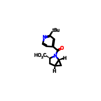 CC(C)(C)c1cc(C(=O)N2[C@@H](C(=O)O)C[C@H]3C[C@H]32)ccn1